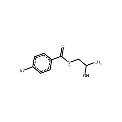 CCc1ccc(C(=O)NCC(C)O)cc1